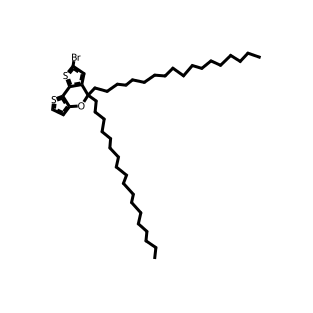 CCCCCCCCCCCCCCCCCCC1(CCCCCCCCCCCCCCCCCC)Oc2ccsc2-c2sc(Br)cc21